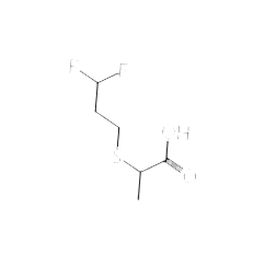 CC(SCCC(F)F)C(=O)O